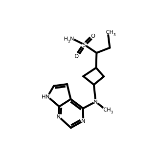 CCC(C1CC(N(C)c2ncnc3[nH]ccc23)C1)S(N)(=O)=O